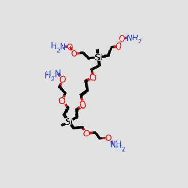 C[Si](CCOCCCOCC[Si](C)(CCOON)CCOON)(CCOCCON)CCOCCON